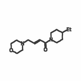 CCC1CCN(C(=O)/C=C/CN2CCOCC2)CC1